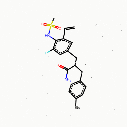 C=Cc1cc(CC(Cc2ccc(C(C)(C)C)cc2)C(N)=O)cc(F)c1NS(C)(=O)=O